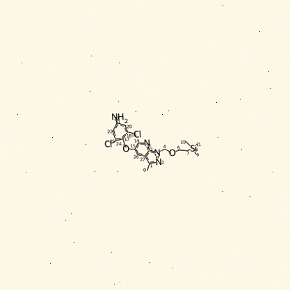 Cc1nn(COCC[Si](C)(C)C)c2ncc(Oc3c(Cl)cc(N)cc3Cl)cc12